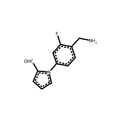 NCc1ccc(-n2cccc2C=O)cc1F